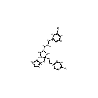 Fc1ccc(CCC2(Cn3ccnc3)OCC(CSCc3cccc(Cl)c3)O2)cc1